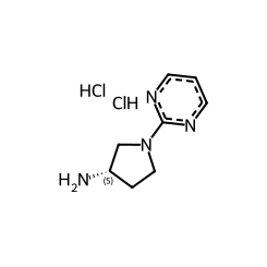 Cl.Cl.N[C@H]1CCN(c2ncccn2)C1